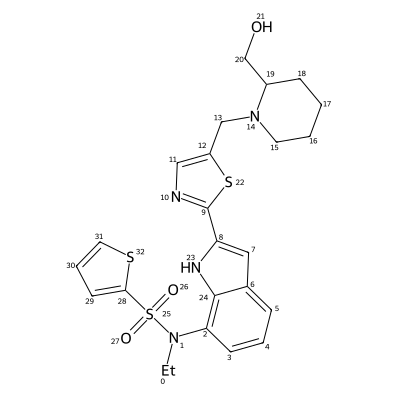 CCN(c1cccc2cc(-c3ncc(CN4CCCCC4CO)s3)[nH]c12)S(=O)(=O)c1cccs1